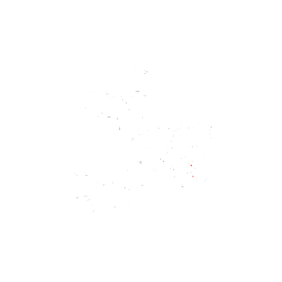 c1ccc(-c2cccc3cccc(-c4ccccc4N(c4ccc(-c5ccc6oc7ccccc7c6c5)cc4)c4cccc(-c5ccc6c7ccccc7n(-c7ccccc7)c6c5)c4)c23)cc1